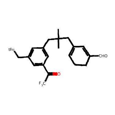 CC(C)(C)Cc1cc(CC(C)(C)CC2=CCCC(C=O)=C2)cc(C(=O)C(F)(F)F)c1